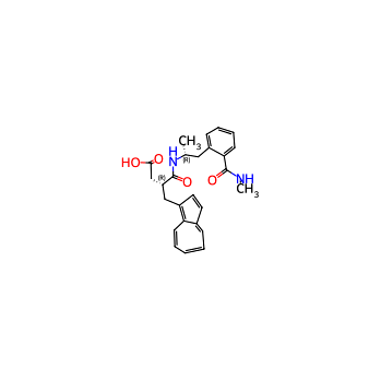 CNC(=O)c1ccccc1C[C@@H](C)NC(=O)[C@@H](CC(=O)O)Cc1ccc2cccccc1-2